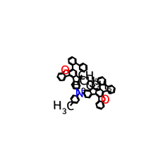 Cc1ccc(N(c2ccc3c(c2)C(C)(C)c2cc(-c4ccccc4-c4ccccc4)c4oc5ccccc5c4c2-3)c2ccc3c(c2)C(C)(C)c2cc(-c4ccccc4-c4ccccc4)c4oc5ccccc5c4c2-3)cc1